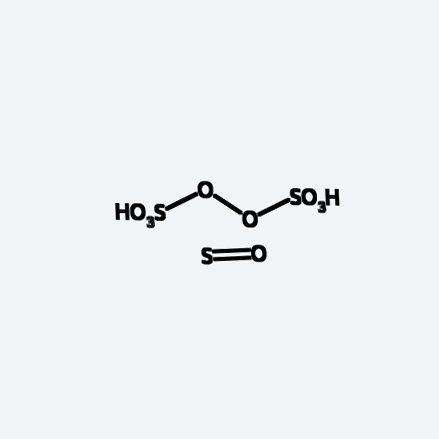 O=S.O=S(=O)(O)OOS(=O)(=O)O